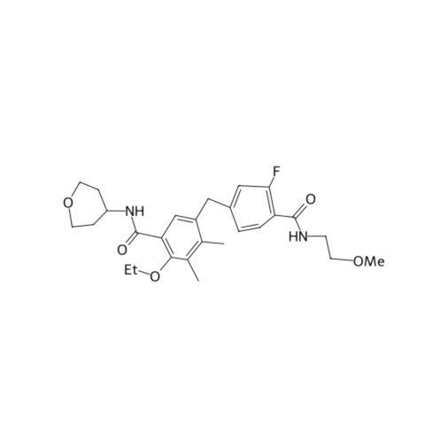 CCOc1c(C(=O)NC2CCOCC2)cc(Cc2ccc(C(=O)NCCOC)c(F)c2)c(C)c1C